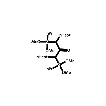 CCCCCCCC(C(=O)C(CCCCCCC)[Si](CCC)(OC)OC)[Si](CCC)(OC)OC